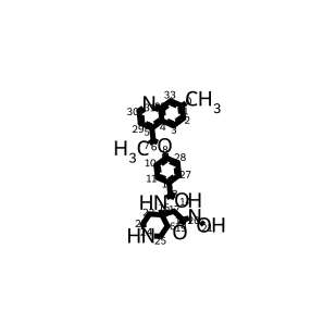 Cc1ccc2c(C(C)Oc3ccc(C(=O)NC4(CC(=O)NO)CCNCC4)cc3)ccnc2c1